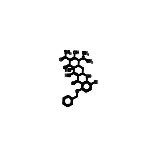 CN(C)C1C(O)=C(C(N)=O)C(=O)C2(O)C(O)=C3C(=O)c4c(OCc5ccccc5)ccc(Cl)c4[SH]C3CC12